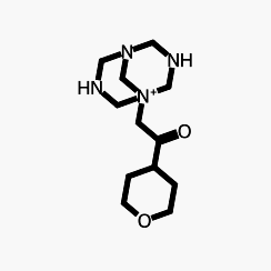 O=C(C[N+]12CNCN(CNC1)C2)C1CCOCC1